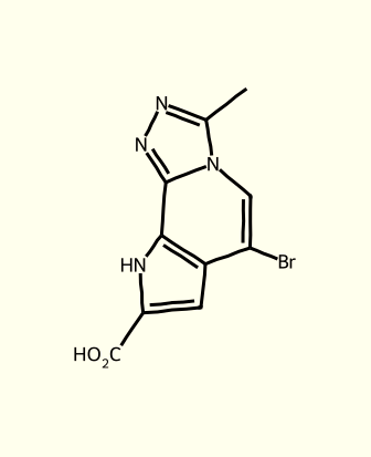 Cc1nnc2c3[nH]c(C(=O)O)cc3c(Br)cn12